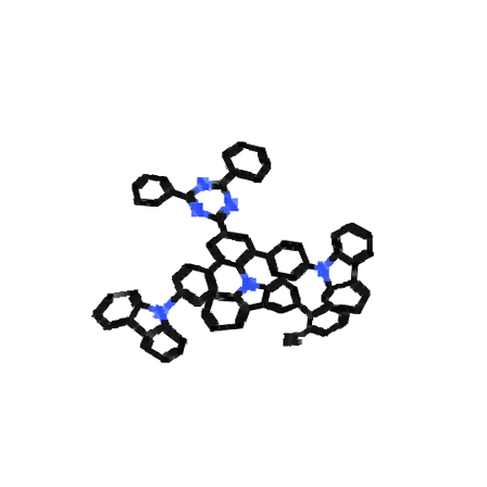 N#Cc1ccccc1-c1ccc2c(c1)c1ccccc1n2-c1c(-c2ccc(-n3c4ccccc4c4ccccc43)cc2)cc(-c2nc(-c3ccccc3)nc(-c3ccccc3)n2)cc1-c1ccc(-n2c3ccccc3c3ccccc32)cc1